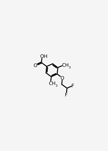 Cc1cc(C(=O)O)cc(C)c1OCC(F)F